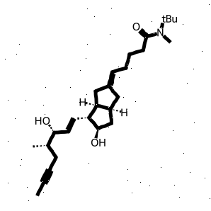 CC#CC[C@H](C)[C@H](O)/C=C/[C@@H]1[C@H]2C/C(=C/CCCC(=O)N(C)C(C)(C)C)C[C@H]2C[C@H]1O